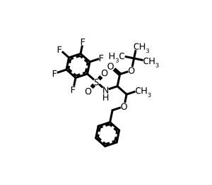 CC(OCc1ccccc1)C(NS(=O)(=O)c1c(F)c(F)c(F)c(F)c1F)C(=O)OC(C)(C)C